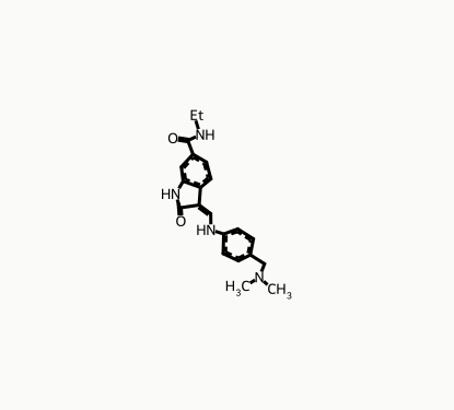 CCNC(=O)c1ccc2c(c1)NC(=O)/C2=C\Nc1ccc(CN(C)C)cc1